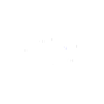 C=C1C(C)=C(C=C(C)C)C(C)=CN1C